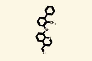 Cc1c(NC2=CC=CC3C(C=O)=CC=NC23)cccc1-c1ccccc1